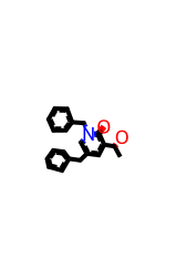 CC(=O)c1cc(Cc2ccccc2)cn(Cc2ccccc2)c1=O